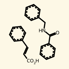 O=C(NCc1ccccc1)c1ccccc1.O=C(O)C=Cc1ccccc1